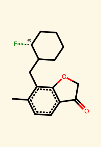 Cc1ccc2c(c1CC1CCCC[C@H]1F)OCC2=O